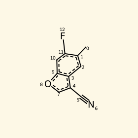 Cc1cc2c(C#N)coc2cc1F